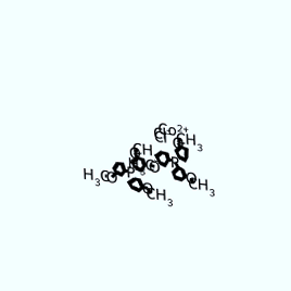 COc1cccc(P(c2cccc(OC)c2)c2cccc(OC)c2)c1.COc1cccc(P(c2cccc(OC)c2)c2cccc(OC)c2)c1.[Cl-].[Cl-].[Co+2]